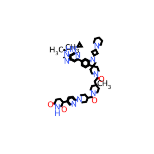 CC(C)n1cnc2cc(-c3ccc4c(c3)N([C@H]3C[C@@H](N5CCCCC5)C3)CC43CCN(C(=O)CC4(C)CCN(C(=O)C5CCN(c6ccc(C7CCC(=O)NC7=O)cn6)CC5)CC4)CC3)nc(NC3CC3)c21